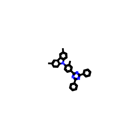 CC1=CC2c3cc(C)ccc3N(c3ccc(-c4nc(-c5ccccc5)nc(-c5ccccc5)n4)cc3C)C2C=C1